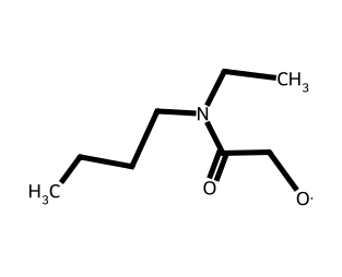 CCCCN(CC)C(=O)C[O]